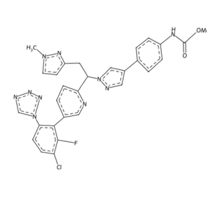 COC(=O)Nc1ccc(-c2cnn(C(Cc3ccn(C)n3)c3ccc(-c4c(-n5cnnn5)ccc(Cl)c4F)cn3)c2)cc1